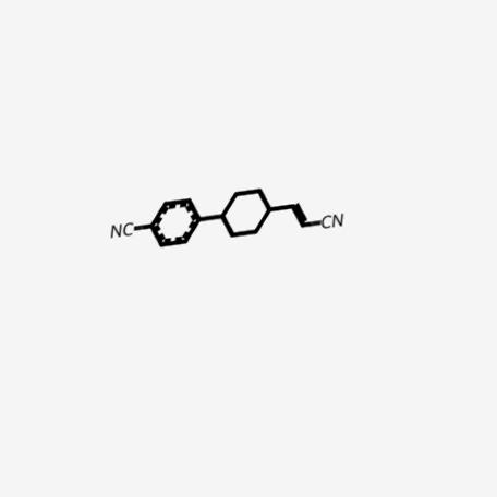 N#CC=CC1CCC(c2ccc(C#N)cc2)CC1